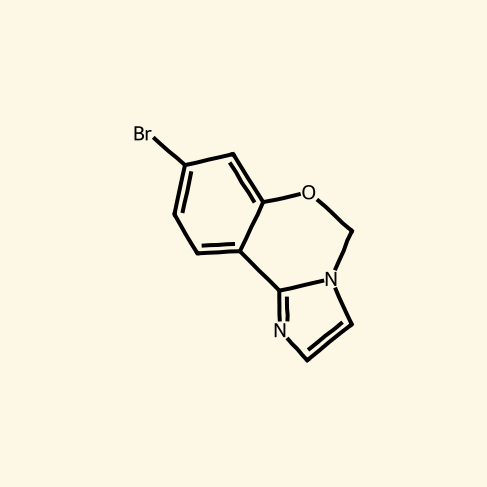 Brc1ccc2c(c1)OCn1ccnc1-2